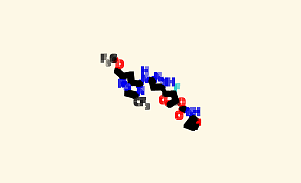 O=C(NC12CC(C1)C2)O[C@H]1CO[C@@H](c2cc(Nc3nc(C(F)(F)F)cn4nc(COC(F)(F)F)cc34)n[nH]2)[C@@H]1F